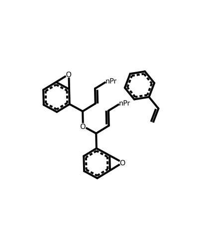 C=Cc1ccccc1.CCCC=CC(OC(C=CCCC)c1cccc2c1O2)c1cccc2c1O2